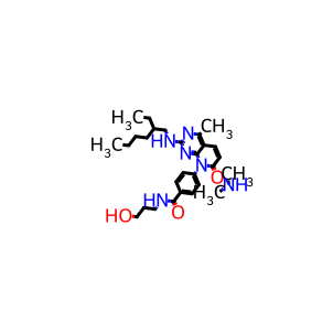 CCCCC(CC)CNc1nc(C)c2ccc(=O)n(-c3ccc(C(=O)NCCCO)cc3)c2n1.CNC